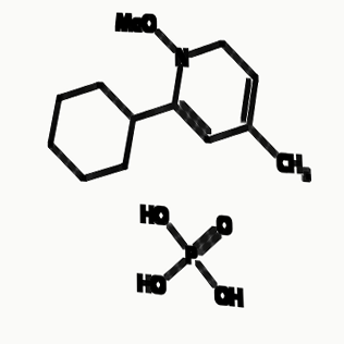 CON1CC=C(C)C=C1C1CCCCC1.O=P(O)(O)O